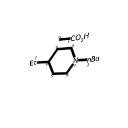 CC(=O)O.CCCCN1CCC(CC)CC1